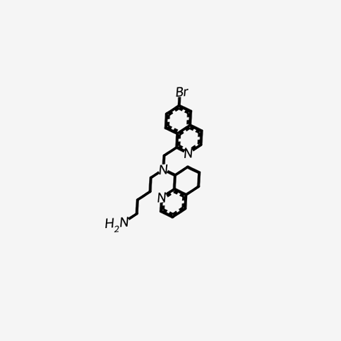 NCCCCN(Cc1nccc2cc(Br)ccc12)C1CCCc2cccnc21